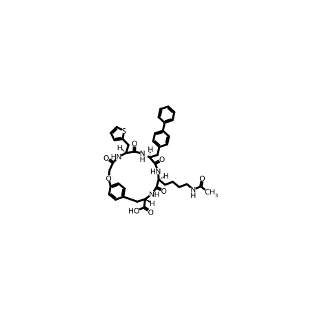 CC(=O)NCCCC[C@@H]1NC(=O)[C@H](Cc2ccc(-c3ccccc3)cc2)NC(=O)[C@H](Cc2cccs2)NC(=O)COc2ccc(cc2)C[C@@H](C(=O)O)NC1=O